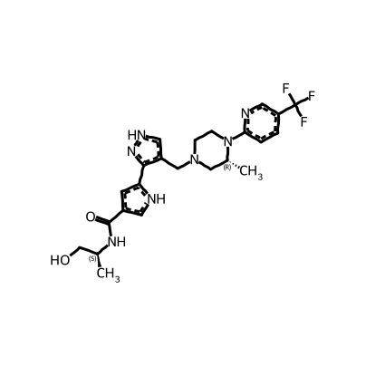 C[C@@H]1CN(Cc2c[nH]nc2-c2cc(C(=O)N[C@@H](C)CO)c[nH]2)CCN1c1ccc(C(F)(F)F)cn1